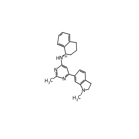 Cc1nc(N[C@@H]2CCCc3ccccc32)cc(-c2ccc3c(c2)N(C)CC3)n1